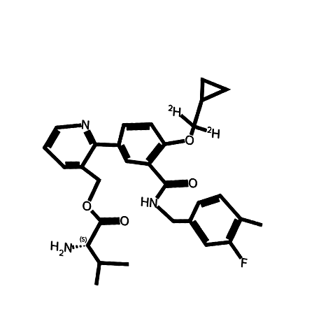 [2H]C([2H])(Oc1ccc(-c2ncccc2COC(=O)[C@@H](N)C(C)C)cc1C(=O)NCc1ccc(C)c(F)c1)C1CC1